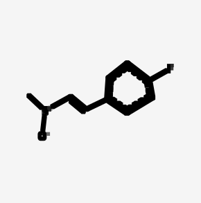 C[S+]([O-])C=Cc1ccc(F)cc1